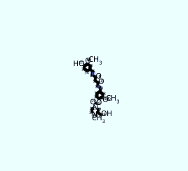 COc1cc(/C=C/C(=O)CC(=O)/C=C/c2ccc(OC(=O)N3CCN(C)C(CO)C3)c(OC)c2)ccc1O